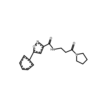 O=C(NCCC(=O)N1CCCC1)c1cc(-c2ccccc2)on1